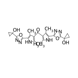 Cc1[nH]c(-c2nnc(C3(O)CC3)o2)c(C)c1C(=O)c1c(C)[nH]c(-c2nnc(C3(O)CC3)o2)c1C